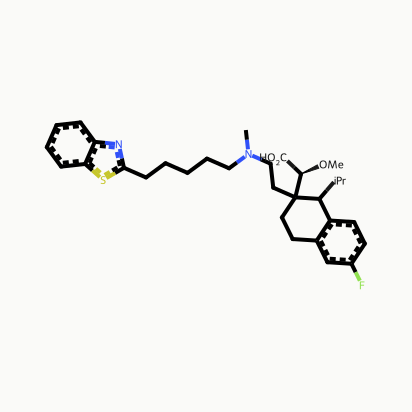 CO[C@H](C(=O)O)C1(CCN(C)CCCCCc2nc3ccccc3s2)CCc2cc(F)ccc2C1C(C)C